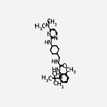 Cc1cccc(C(C)(C)C)c1NC(=O)NCC1CCC(Nc2nccc(N(C)C)n2)CC1